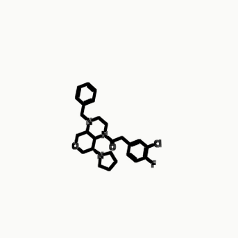 O=C(Cc1ccc(F)c(Cl)c1)N1CCN(Cc2ccccc2)C2COC[C@H](N3CCCC3)C21